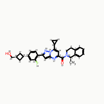 C[C@@H]1c2ccccc2CCN1C(=O)c1cc(C2CC2)n2nc(-c3ccc([C@H]4C[C@H](CO)C4)cc3F)cc2n1